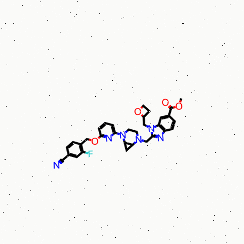 COC(=O)c1ccc2nc(CN3CCN(c4cccc(OCc5ccc(C#N)cc5F)n4)C4CC43)n(CC3CCO3)c2c1